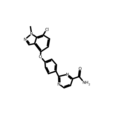 Cn1ncc2c(Oc3ccc(-c4nccc(C(N)=O)n4)cc3)ccc(Cl)c21